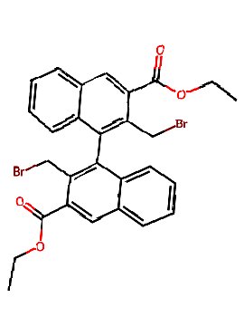 CCOC(=O)c1cc2ccccc2c(-c2c(CBr)c(C(=O)OCC)cc3ccccc23)c1CBr